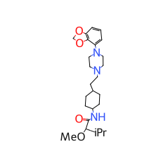 COC(C(=O)NC1CCC(CCN2CCN(c3cccc4c3OCO4)CC2)CC1)C(C)C